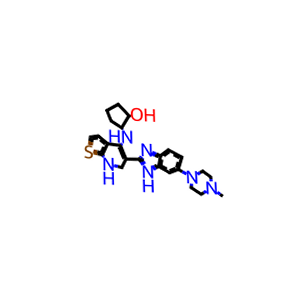 CN1CCN(c2ccc3nc(C4=C(N[C@@H]5CCC[C@H]5O)c5ccsc5NC4)[nH]c3c2)CC1